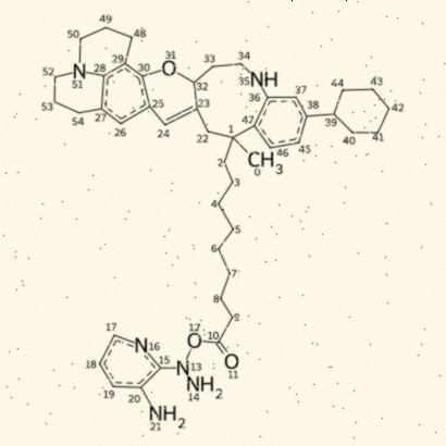 CC1(CCCCCCCCC(=O)ON(N)c2ncccc2N)CC2=Cc3cc4c5c(c3OC2CCNc2cc(C3CCCCC3)ccc21)CCCN5CCC4